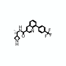 C[C@H](NC(=O)c1cnc2c(-c3ccc(C(F)(F)F)cc3)cccc2c1)C1CNC1